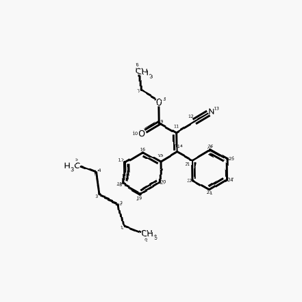 CCCCCC.CCOC(=O)C(C#N)=C(c1ccccc1)c1ccccc1